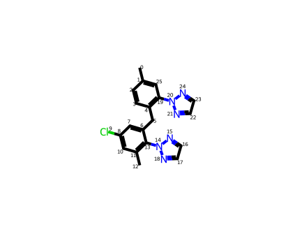 Cc1ccc(Cc2cc(Cl)cc(C)c2-n2nccn2)c(-n2nccn2)c1